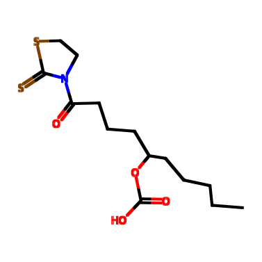 CCCCCC(CCCC(=O)N1CCSC1=S)OC(=O)O